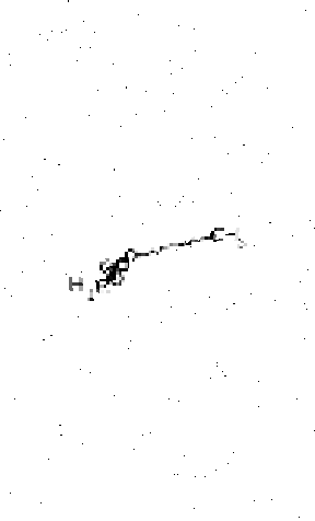 CC[CH]S(=O)(=O)c1ccc(OCCCCCCCCCCCCCCCC)cc1